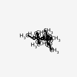 C=C(C)C(=O)NCC(COC(=O)C(=O)OCCOC)(COC(=O)C(=O)OCCOC)COc1ccc(-c2cc(OC(=O)C(=C)C)c(C3CCC(CCCCC)CC3)cc2OC(=O)C(=C)C)cc1F